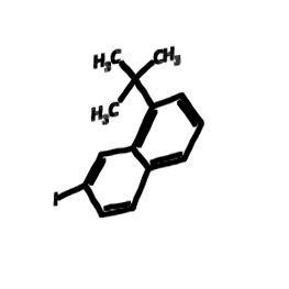 CC(C)(C)c1cccc2ccc(I)cc12